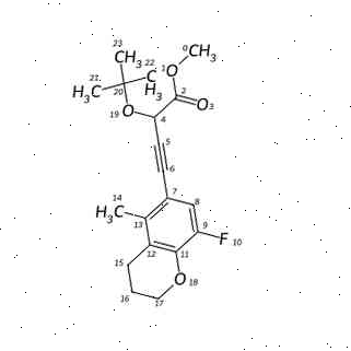 COC(=O)C(C#Cc1cc(F)c2c(c1C)CCCO2)OC(C)(C)C